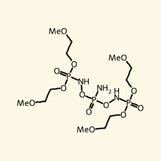 COCCOP(=O)(NOP(N)(=O)ONP(=O)(OCCOC)OCCOC)OCCOC